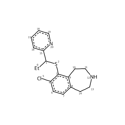 CCC(Sc1c(Cl)ccc2c1CCNCC2)c1ccccn1